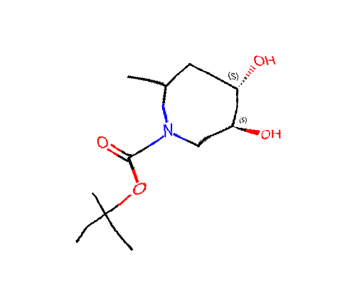 CC1C[C@H](O)[C@@H](O)CN1C(=O)OC(C)(C)C